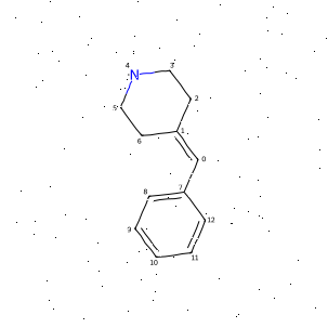 C(=C1CC[N]CC1)c1ccccc1